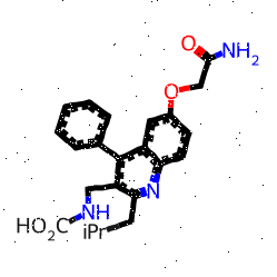 CC(C)Cc1nc2ccc(OCC(N)=O)cc2c(-c2ccccc2)c1CNC(=O)O